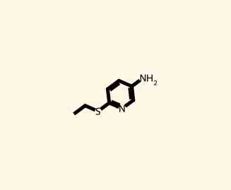 CCSc1ccc(N)cn1